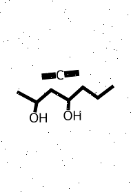 C=C=C.CCCC(O)CC(C)O